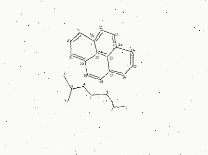 CCCCCC(C)C.c1cc2ccc3cccc4ccc(c1)c2c34